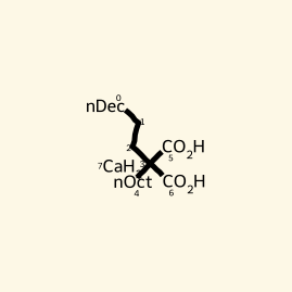 CCCCCCCCCCCCC(CCCCCCCC)(C(=O)O)C(=O)O.[CaH2]